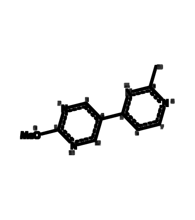 COc1n[c]c(-c2ccnc(C)n2)cn1